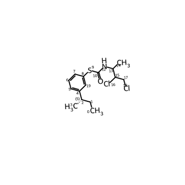 CC[C@H](C)c1cccc(SC(=O)NC(C)C(Cl)CCl)c1